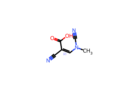 CN(C#N)/C=C(/C#N)C(=O)O